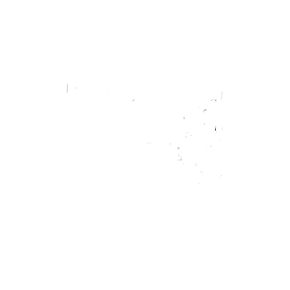 CCCCCCCCCC(C(C)=O)(C(=O)OC)c1ccccc1